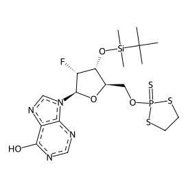 CC(C)(C)[Si](C)(C)O[C@H]1[C@@H](F)[C@H](n2cnc3c(O)ncnc32)O[C@@H]1COP1(=S)SCCS1